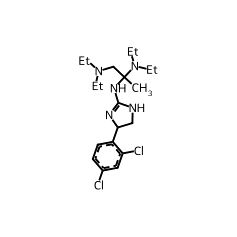 CCN(CC)CC(C)(NC1=NC(c2ccc(Cl)cc2Cl)CN1)N(CC)CC